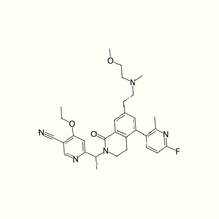 CCOc1cc(C(C)N2CCc3c(cc(CCN(C)CCOC)cc3-c3ccc(F)nc3C)C2=O)ncc1C#N